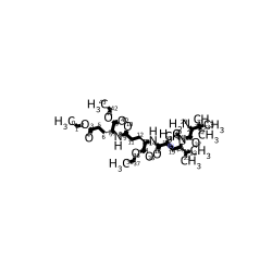 CCOC(=O)CC[C@@H](NC(=O)CC[C@@H](NC(=O)/C(C)=C/[C@H](C(C)C)N(C)C(=O)C(N)C(C)(C)C)C(=O)OCC)C(=O)OCC